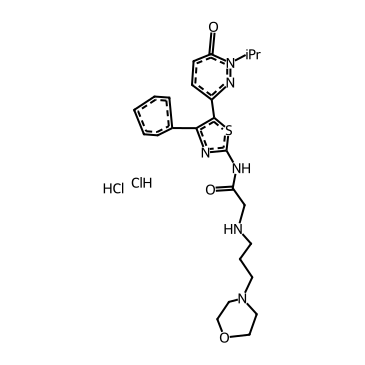 CC(C)n1nc(-c2sc(NC(=O)CNCCCN3CCOCC3)nc2-c2ccccc2)ccc1=O.Cl.Cl